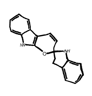 C1=CC2(Cc3ccccc3N2)Oc2[nH]c3ccccc3c21